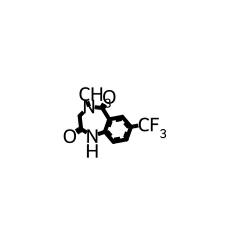 CN1CC(=O)Nc2ccc(C(F)(F)F)cc2C1=O